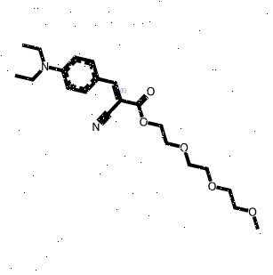 CCN(CC)c1ccc(/C=C(\C#N)C(=O)OCCOCCOCCOC)cc1